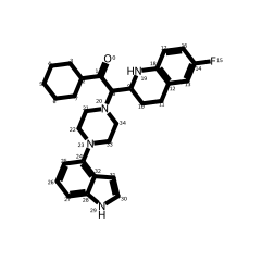 O=C(C1CCCCC1)C(C1CCc2cc(F)ccc2N1)N1CCN(c2cccc3[nH]ccc23)CC1